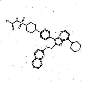 O=C(O)NS(=O)(=O)N1CCN(c2ccc(-c3c(CSc4ccc5ccccc5n4)nc4c(N5CCOCC5)ccnn34)cn2)CC1